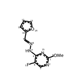 COc1ncc(F)c(N/N=C/c2ccco2)n1